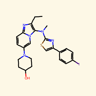 CCc1nc2ccc(N3CCC(O)CC3)cn2c1N(C)c1nc(-c2ccc(I)cc2)cs1